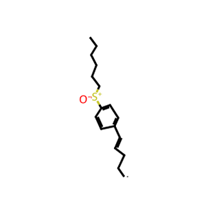 [CH2]CCC=Cc1ccc([S+]([O-])CCCCCC)cc1